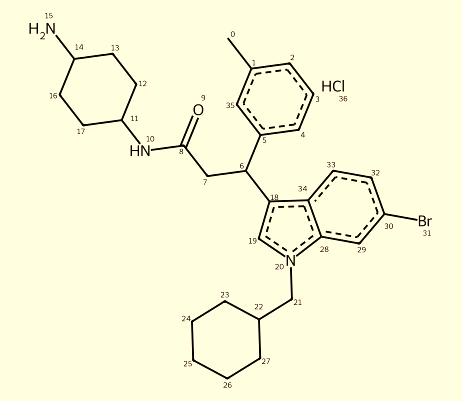 Cc1cccc(C(CC(=O)NC2CCC(N)CC2)c2cn(CC3CCCCC3)c3cc(Br)ccc23)c1.Cl